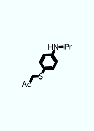 CC(=O)CSc1ccc(NC(C)C)cc1